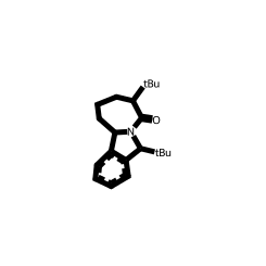 CC(C)(C)C1CCCC2c3ccccc3C(C(C)(C)C)N2C1=O